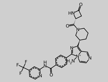 N[N+]12C=CN=CC1=C([C@@H]1CCCN(C(=O)[C@H]3CC(=O)N3)C1)N=C2c1ccc(C(=O)Nc2cc(C(F)(F)F)ccn2)cc1